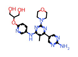 Cc1c(Nc2ccc(OC(CO)CO)nc2)nc(N2CCOCC2)nc1-c1cnc(N)nc1